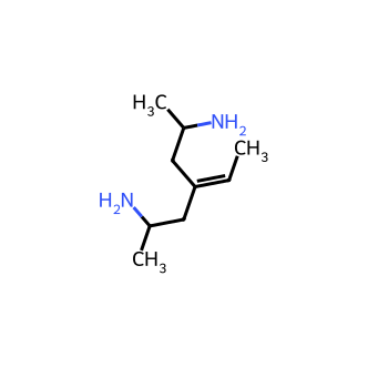 CC=C(CC(C)N)CC(C)N